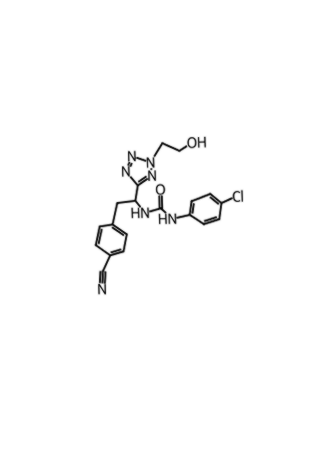 N#Cc1ccc(CC(NC(=O)Nc2ccc(Cl)cc2)c2nnn(CCO)n2)cc1